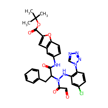 CC(C)(C)OC(=O)c1cc2cc(NC(=O)C(Cc3ccccc3)N(Nc3cc(Cl)ccc3-n3cnnn3)C(=O)C=O)ccc2o1